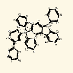 c1ccc(-c2cc([Si](c3ccccc3)(c3ccccc3)c3ccc4c(c3)c3ccccc3n4-c3ccccc3)ccn2)cc1